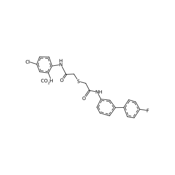 O=C(CSCC(=O)Nc1ccc(Cl)cc1C(=O)O)Nc1cccc(-c2ccc(F)cc2)c1